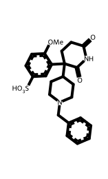 COc1ccc(S(=O)(=O)O)cc1C1(C2CCN(Cc3ccccc3)CC2)CCC(=O)NC1=O